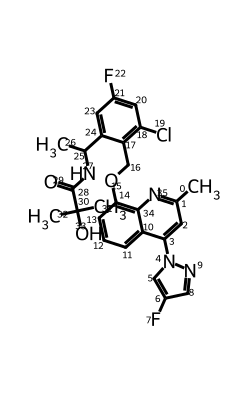 Cc1cc(-n2cc(F)cn2)c2cccc(OCc3c(Cl)cc(F)cc3C(C)NC(=O)C(C)(C)O)c2n1